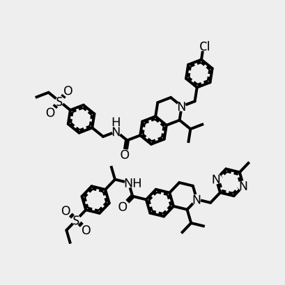 CCS(=O)(=O)c1ccc(C(C)NC(=O)c2ccc3c(c2)CCN(Cc2cnc(C)cn2)C3C(C)C)cc1.CCS(=O)(=O)c1ccc(CNC(=O)c2ccc3c(c2)CCN(Cc2ccc(Cl)cc2)C3C(C)C)cc1